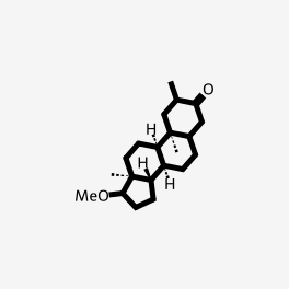 COC1CC[C@H]2[C@@H]3CCC4CC(=O)C(C)C[C@]4(C)[C@@H]3CC[C@]12C